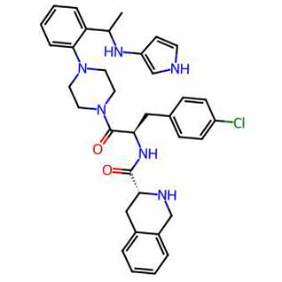 CC(Nc1cc[nH]c1)c1ccccc1N1CCN(C(=O)[C@@H](Cc2ccc(Cl)cc2)NC(=O)[C@H]2Cc3ccccc3CN2)CC1